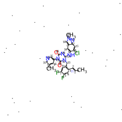 C/C=C/c1cc(F)c(F)cc1Cn1c(Nc2cc3cn(C)nc3cc2Cl)nc(=O)n(-c2cncc(C)c2)c1=O